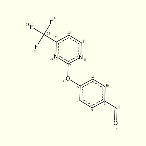 O=Cc1ccc(Oc2nccc(C(F)(F)F)n2)cc1